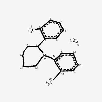 Cl.FC(F)(F)c1ccccc1C1CCCCN1c1ccccc1C(F)(F)F